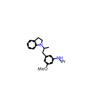 COc1cc(CC(C)N2CCc3ccccc32)cc(NC(C)C)c1